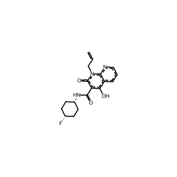 C=CCn1c(=O)c(C(=O)N[C@H]2CC[C@@H](F)CC2)c(O)c2cccnc21